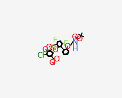 COC(=O)c1cc(Cl)c(OC)c(S(=O)(=O)Cc2cc(-c3ccccc3OCCNC(=O)OC(C)(C)C)c(F)cc2F)c1